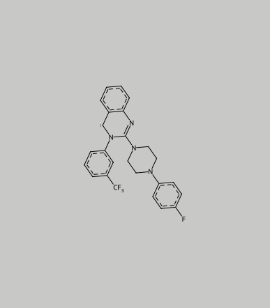 Fc1ccc(N2CCN(C3=Nc4ccccc4[C]N3c3cccc(C(F)(F)F)c3)CC2)cc1